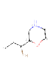 CCC(S)C1CNCCO1